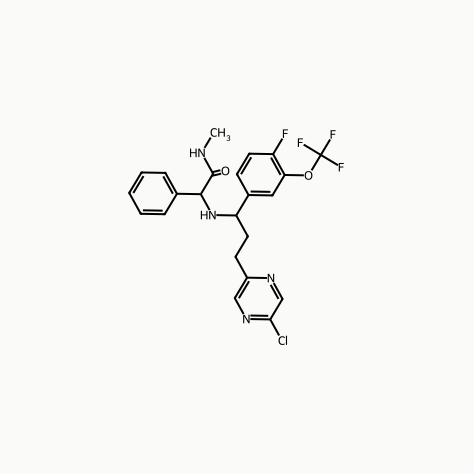 CNC(=O)C(NC(CCc1cnc(Cl)cn1)c1ccc(F)c(OC(F)(F)F)c1)c1ccccc1